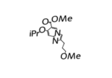 COCCCc1cn2cc(C(=O)OC)c(OC(C)C)cc2n1